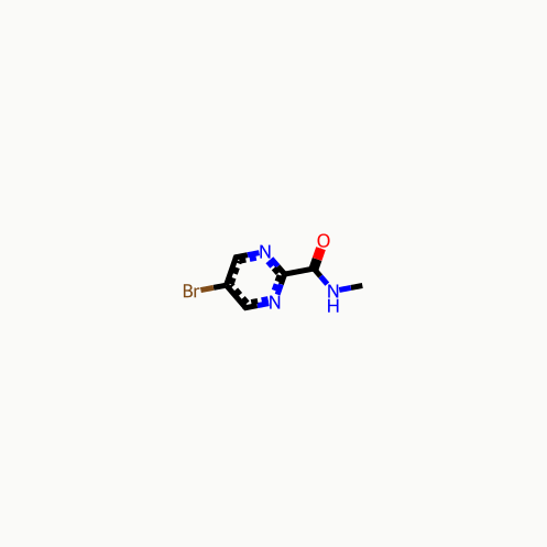 CNC(=O)c1ncc(Br)cn1